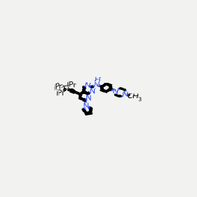 CC(C)[Si](C#Cc1cc(-n2cccc2)nc2nc(Nc3ccc(N4CCN(C)CC4)cc3)ncc12)(C(C)C)C(C)C